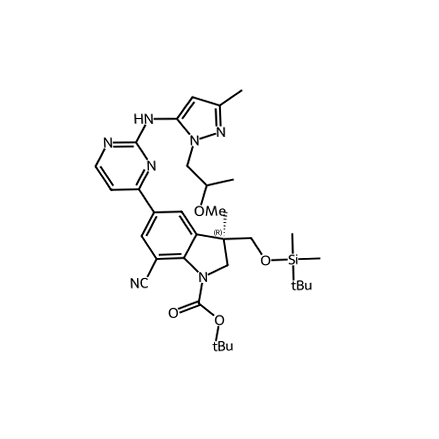 COC(C)Cn1nc(C)cc1Nc1nccc(-c2cc(C#N)c3c(c2)[C@@](C)(CO[Si](C)(C)C(C)(C)C)CN3C(=O)OC(C)(C)C)n1